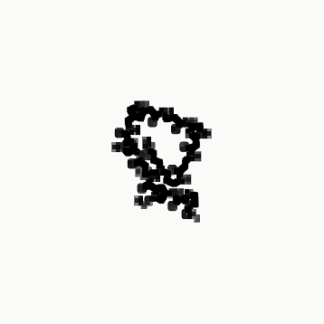 Cn1cc(NC(=O)c2nccn2C)cc1C(=O)NCCC(=O)Nc1c[nH]c(C(=O)NCc2c[nH]c(CC(=O)NCCC(=O)Nc3c[nH]c(CC(=O)NCCC(=O)NCCCN(CCCN)CC(F)(F)F)n3)c2)n1